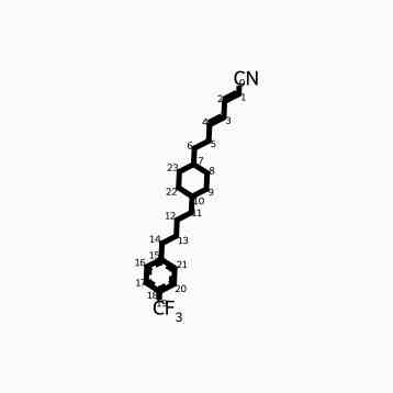 N#CC=CC=CCCC1CCC(CCCCc2ccc(C(F)(F)F)cc2)CC1